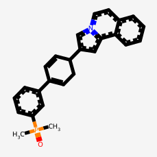 CP(C)(=O)c1cccc(C2=CCC(c3cc4c5ccccc5ccn4c3)C=C2)c1